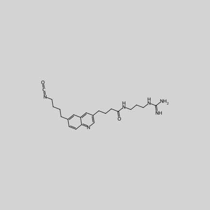 N=C(N)NCCCNC(=O)CCCc1cnc2ccc(CCCCN=C=O)cc2c1